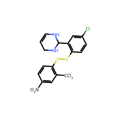 O=[N+]([O-])c1ccc(SSc2ccc(Cl)cc2C2NC=CCN2)c(C(Cl)(Cl)Cl)c1